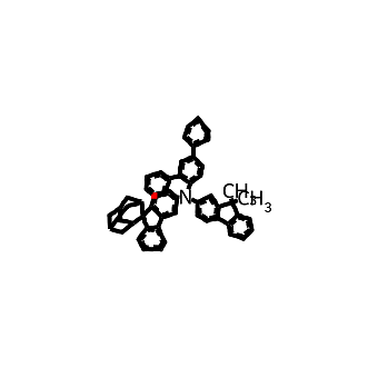 CC1(C)c2ccccc2-c2ccc(N(c3ccc4c(c3)-c3ccccc3C43C4CC5CC(C4)CC3C5)c3ccc(-c4ccccc4)cc3-c3ccccc3)cc21